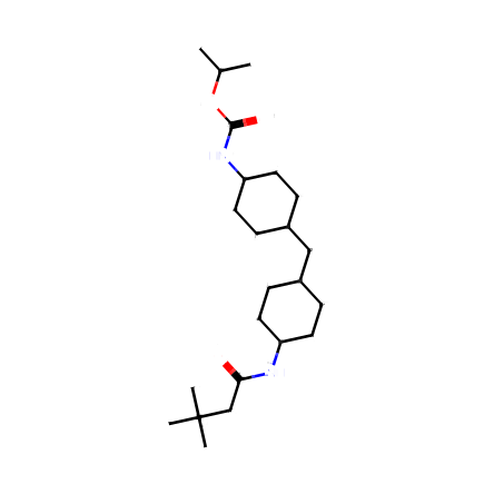 CC(C)OC(=O)NC1CCC(CC2CCC(NC(=O)CC(C)(C)C)CC2)CC1